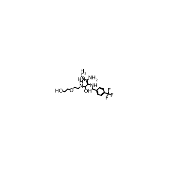 CN/C(N)=C(/NCc1ccc(C(F)(F)F)cc1)C(O)NCCOCCO